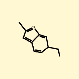 CCC1C=CC2=CC(C)=NC2=C1